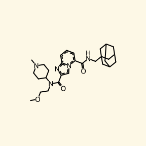 COCCN(C(=O)c1cn2c(C(=O)NCC34CC5CC(CC(C5)C3)C4)cccc2n1)C1CCN(C)CC1